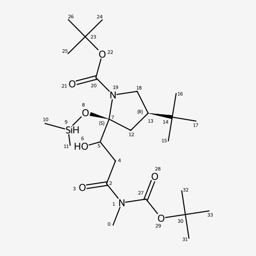 CN(C(=O)CC(O)[C@@]1(O[SiH](C)C)C[C@H](C(C)(C)C)CN1C(=O)OC(C)(C)C)C(=O)OC(C)(C)C